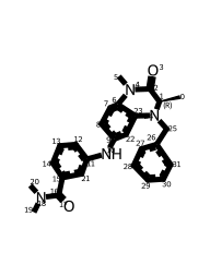 C[C@@H]1C(=O)N(C)c2ccc(Nc3cccc(C(=O)N(C)C)c3)cc2N1Cc1ccccc1